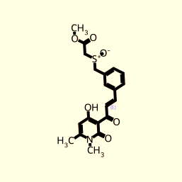 COC(=O)C[S+]([O-])Cc1cccc(/C=C/C(=O)c2c(O)cc(C)n(C)c2=O)c1